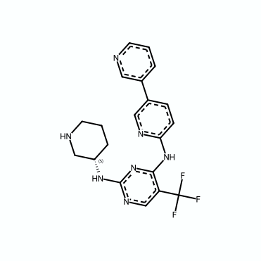 FC(F)(F)c1cnc(N[C@H]2CCCNC2)nc1Nc1ccc(-c2cccnc2)cn1